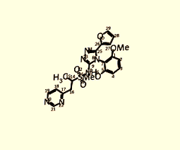 COc1cccc(OC)c1-n1c(NS(=O)(=O)C(C)Cc2ccncn2)nnc1-c1ccco1